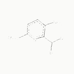 COc1ccc([N+](=O)[O-])c(C(Br)Br)n1